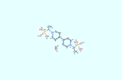 CC([n+]1ccc(-c2cc[n+](C(C)P(=O)(O)O)cc2)cc1)P(=O)(O)O.[Br-].[Br-]